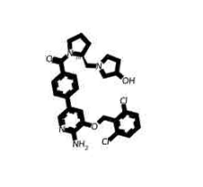 Nc1ncc(-c2ccc(C(=O)N3CCC[C@H]3CN3CCC(O)C3)cc2)cc1OCc1c(Cl)cccc1Cl